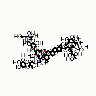 CCC(OC1OC(C)C(O)C(OC2CCC(O)C(O)C2O)C1O)/C(O)=C(\OC1OC(C)C(OC2OCC(O)C(OC(O)/C(O)=C(/O)C(O)CCO)C2O)C(O)C1O)C(O)OC(=O)[C@]12CCC(C)(C)CC1C1=CCC3[C@@]4(C)CC[C@H](OC(O)C(OC5OC(CO)C(O)C(O)C5O)C(OC(O)C(O)C(O)C(C)O)C(O)CC(=O)O)[C@@](C)(CO)C4CC[C@@]3(C)[C@]1(C)C[C@H]2O